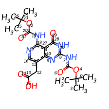 CC(C)(C)OC(=O)Nc1nc2c(CC(=O)O)cnc(NC(=O)OC(C)(C)C)c2c(=O)[nH]1